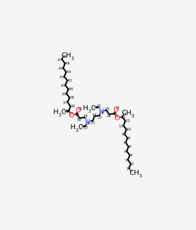 CCCCCCCCCCCCCC(C)OC(=O)CCN(CC)CCCN(CC)CCC(=O)OC(C)CCCCCCCCCCCCC